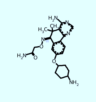 CC1(C)/C(=N/OCC(N)=O)c2cc(OC3CCC(N)CC3)ccc2-c2ncnc(N)c21